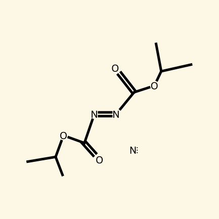 CC(C)OC(=O)N=NC(=O)OC(C)C.[N]